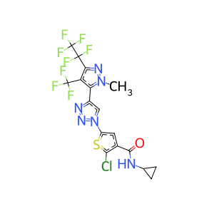 Cn1nc(C(F)(F)C(F)(F)F)c(C(F)(F)F)c1-c1cn(-c2cc(C(=O)NC3CC3)c(Cl)s2)nn1